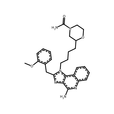 COc1ccccc1Cc1nc2c(N)nc3ccccc3c2n1CCCCC1CN(C(N)=O)CCO1